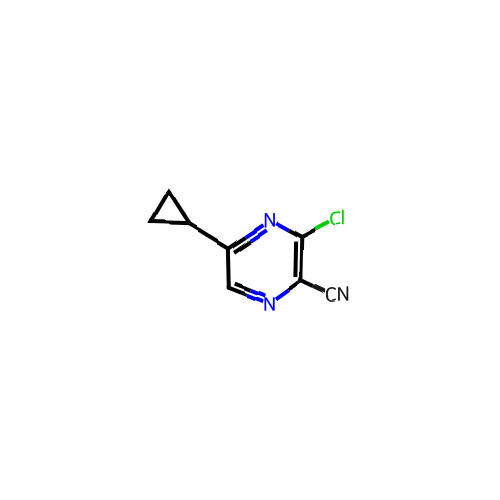 N#Cc1ncc(C2CC2)nc1Cl